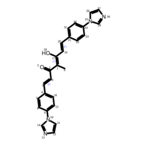 C/C(C(=O)/C=C/c1ccc(-n2ccnc2)cc1)=C(O)\C=C\c1ccc(-n2ccnc2)cc1